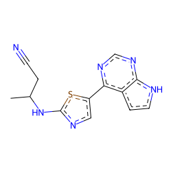 CC(CC#N)Nc1ncc(-c2ncnc3[nH]ccc23)s1